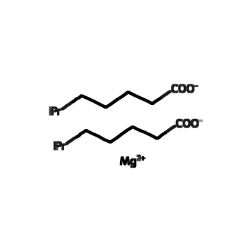 CC(C)CCCCC(=O)[O-].CC(C)CCCCC(=O)[O-].[Mg+2]